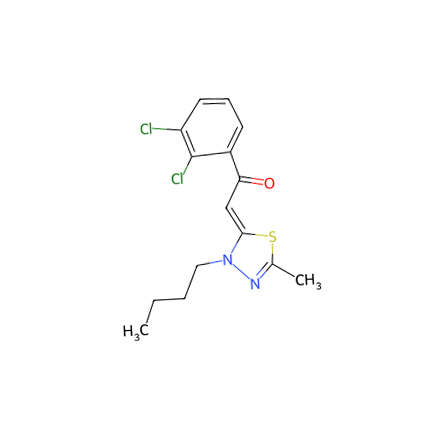 CCCCN1N=C(C)S/C1=C\C(=O)c1cccc(Cl)c1Cl